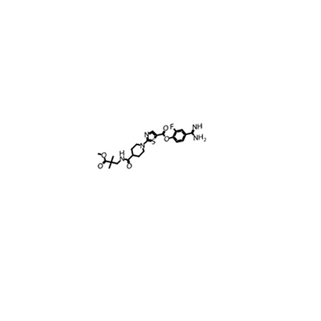 COC(=O)C(C)(C)CNC(=O)C1CCN(c2ncc(C(=O)Oc3ccc(C(=N)N)cc3F)s2)CC1